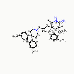 COc1ccc(C2(c3ccc(OC)cc3)CCN(CCCC3(C(=O)O)C(C)NC(N)C(C)(C(=O)O)[C@@H]3c3cccc([N+](=O)[O-])c3)CC2)cc1